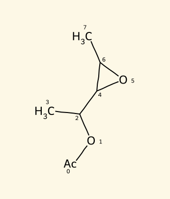 CC(=O)OC(C)C1OC1C